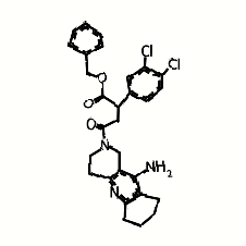 Nc1c2c(nc3c1CN(C(=O)CC(C(=O)OCc1ccccc1)c1ccc(Cl)c(Cl)c1)CC3)CCCC2